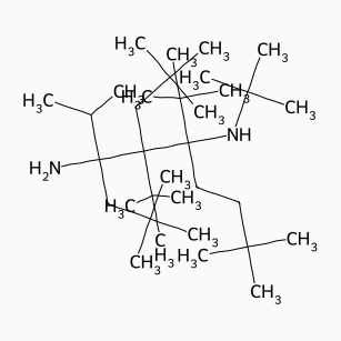 CC(C)C(N)(CC(C)(C)C)C(CC(C)(C)C)(C(C)(C)C)C(CCC(C)(C)C)(NC(C)(C)C)C(C)(C)C